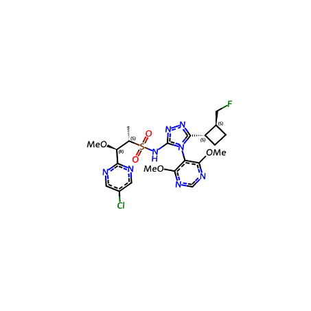 COc1ncnc(OC)c1-n1c(NS(=O)(=O)[C@@H](C)[C@H](OC)c2ncc(Cl)cn2)nnc1[C@H]1CC[C@@H]1CF